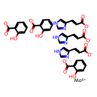 O=C([O-])C=Cc1c[nH]cn1.O=C([O-])C=Cc1c[nH]cn1.O=C([O-])C=Cc1c[nH]cn1.O=C([O-])c1ccccc1O.O=C([O-])c1ccccc1O.O=C([O-])c1ccccc1O.[Mo+6]